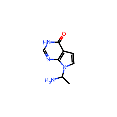 CC(N)n1ccc2c(=O)[nH]cnc21